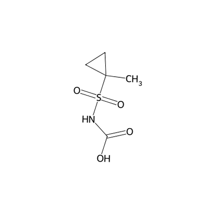 CC1(S(=O)(=O)NC(=O)O)CC1